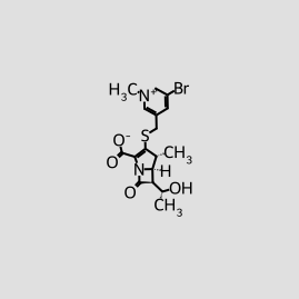 C[C@@H](O)[C@H]1C(=O)N2C(C(=O)[O-])=C(SCc3cc(Br)c[n+](C)c3)[C@H](C)[C@@H]12